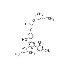 CCCCCC(CC)OCC(O)COc1ccc(-c2nc(-c3ccc(C)cc3C)nc(-c3ccc(C)cc3C)n2)c(O)c1